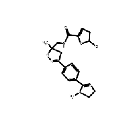 CN1CCN=C1c1ccc(C2=NOC(C)(CNC(=O)C3=CCC(Cl)S3)C2)cc1